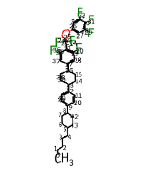 CCCCCC1CCC(c2ccc(C3CCC(c4cc(F)c(C(F)(F)Oc5cc(F)c(F)c(F)c5)c(F)c4)CC3)cc2)CC1